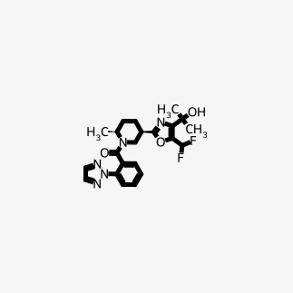 C[C@@H]1CC[C@@H](c2nc(C(C)(C)O)c(C(F)F)o2)CN1C(=O)c1ccccc1-n1nccn1